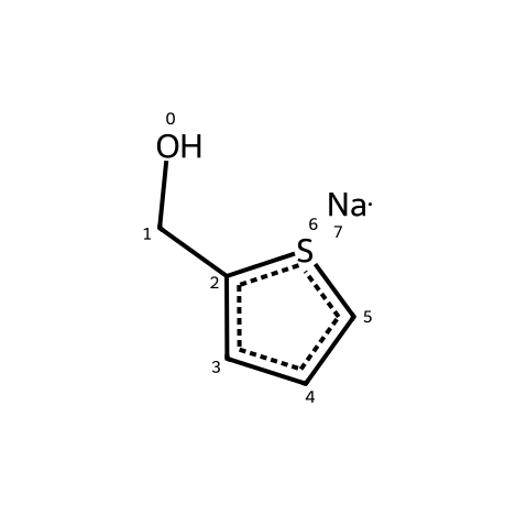 OCc1cccs1.[Na]